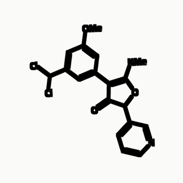 CNC1=C(c2cc(OC)cc(C(Cl)Cl)c2)C(=O)C(c2cccnc2)O1